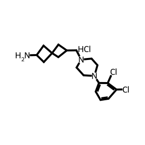 Cl.NC1CC2(C1)CC(CN1CCN(c3cccc(Cl)c3Cl)CC1)C2